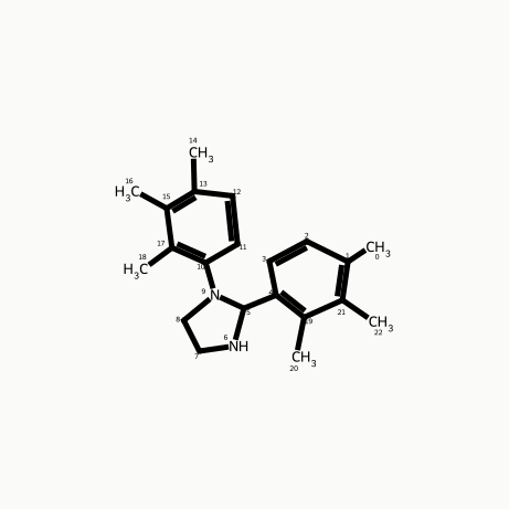 Cc1ccc(C2NCCN2c2ccc(C)c(C)c2C)c(C)c1C